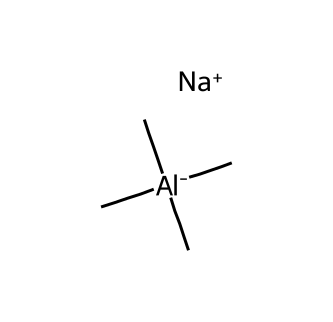 [CH3][Al-]([CH3])([CH3])[CH3].[Na+]